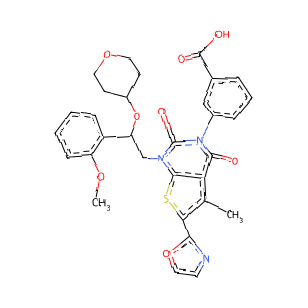 COc1ccccc1C(Cn1c(=O)n(-c2cccc(C(=O)O)c2)c(=O)c2c(C)c(-c3ncco3)sc21)OC1CCOCC1